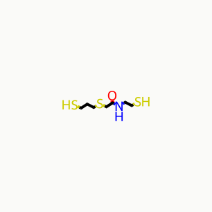 O=C(CSCCCS)NCCS